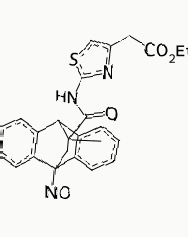 CCOC(=O)Cc1csc(NC(=O)C2(C)CC3(N=O)c4ccccc4C2c2ccccc23)n1